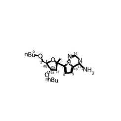 CCCCOC[C@H]1OC(C)(c2ccc3c(N)ncnn23)C[C@@H]1OCCCC